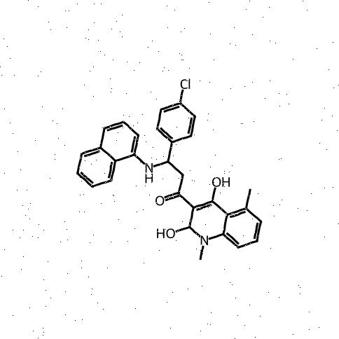 Cc1cccc2c1C(O)=C(C(=O)CC(Nc1cccc3ccccc13)c1ccc(Cl)cc1)C(O)N2C